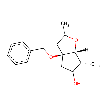 C[C@@H]1C(O)C[C@]2(OCc3ccccc3)C[C@H](C)O[C@H]12